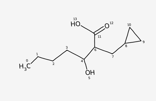 CCCCC(O)C(CC1CC1)C(=O)O